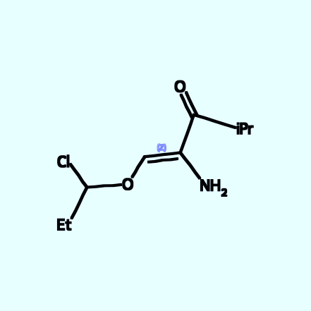 CCC(Cl)O/C=C(\N)C(=O)C(C)C